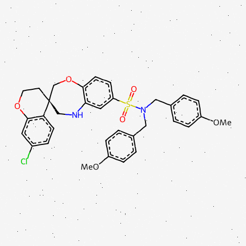 COc1ccc(CN(Cc2ccc(OC)cc2)S(=O)(=O)c2ccc3c(c2)NC[C@@]2(CCOc4cc(Cl)ccc42)CO3)cc1